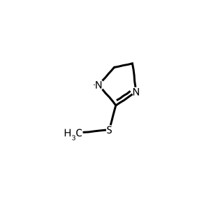 CSC1=NCC[N]1